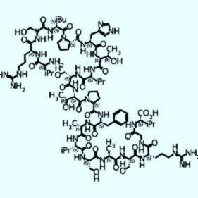 CC[C@H](C)[C@H](NC(=O)[C@H](CO)NC(=O)[C@H](CCCNC(=N)N)NC(=O)[C@@H](N)C(C)C)C(=O)N1CCC[C@H]1C(=O)N[C@@H](Cc1c[nH]cn1)C(=O)N[C@H](C(=O)N[C@H](C(=O)N[C@@H](CO)C(=O)N[C@H](C(=O)N1CCC[C@H]1C(=O)N[C@@H](Cc1ccccc1)C(=O)N[C@@H](C)C(=O)N[C@H](C(=O)N[C@@H](CO)C(=O)N[C@@H](C)C(=O)N[C@@H](CO)C(=O)N[C@@H](CCCNC(=N)N)C(=O)NCC(=O)N[C@H](C(=O)O)C(C)C)C(C)C)[C@@H](C)O)C(C)C)[C@@H](C)O